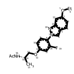 CCOc1ccc2cn(-c3ccc(OC[C@H](C)NC(C)=O)cc3F)nc2c1